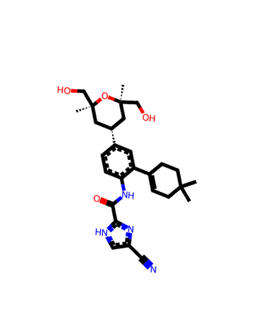 CC1(C)CC=C(c2cc([C@H]3C[C@](C)(CO)O[C@](C)(CO)C3)ccc2NC(=O)c2nc(C#N)c[nH]2)CC1